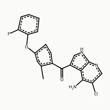 Cc1cc(Oc2ccccc2F)ccc1C(=O)c1c[nH]c2ncc(Cl)c(N)c12